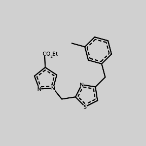 CCOC(=O)c1cnn(Cc2nc(Cc3cccc(C)c3)cs2)c1